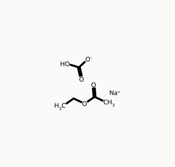 CCOC(C)=O.O=C([O-])O.[Na+]